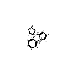 CC[Si]1(CC)c2ccccc2-n2cccc21